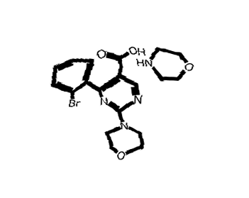 C1COCCN1.O=C(O)c1cnc(N2CCOCC2)nc1-c1ccccc1Br